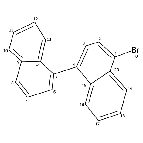 Brc1ccc(-c2cccc3ccccc23)c2ccccc12